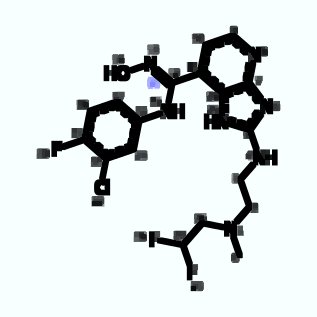 CN(CCNc1nc2nccc(/C(=N/O)Nc3ccc(F)c(Cl)c3)c2[nH]1)CC(F)F